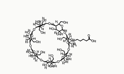 CCCCCC(=O)O.OC[C@H]1O[C@@H]2O[C@H]3[C@H](O)[C@@H](O)[C@@H](O[C@H]4[C@H](O)[C@@H](O)[C@@H](O[C@H]5[C@H](O)[C@@H](O)[C@@H](O[C@H]6[C@H](O)[C@@H](O)[C@@H](O[C@H]7[C@H](O)[C@@H](O)[C@@H](O[C@H]8[C@H](O)[C@@H](O)[C@@H](O[C@H]1[C@H](O)[C@H]2O)O[C@@H]8CO)O[C@@H]7CO)O[C@@H]6CO)O[C@@H]5CO)O[C@@H]4CO)O[C@@H]3CO